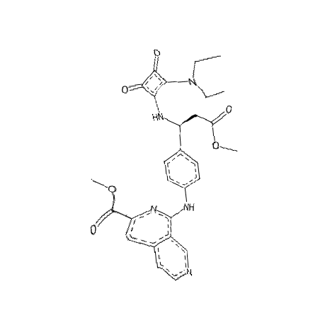 CCN(CC)c1c(N[C@@H](CC(=O)OC)c2ccc(Nc3nc(C(=O)OC)cc4ccncc34)cc2)c(=O)c1=O